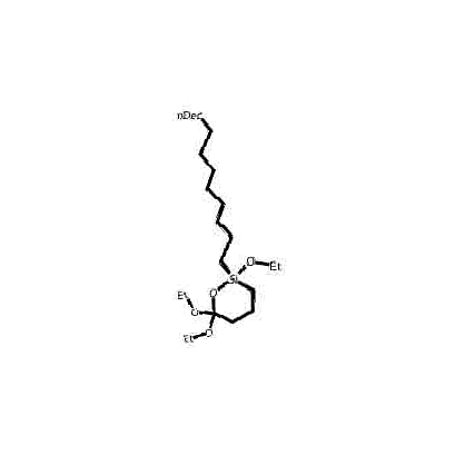 CCCCCCCCCCCCCCCCCC[Si]1(OCC)CCCC(OCC)(OCC)O1